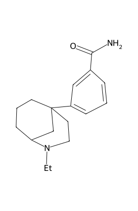 CCN1CCC2(c3cccc(C(N)=O)c3)CCCC1C2